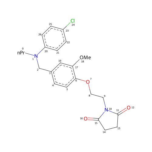 CCCN(Cc1ccc(OCCN2C(=O)CCC2=O)c(OC)c1)c1ccc(Cl)cc1